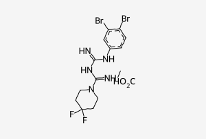 CC(=O)O.N=C(NC(=N)N1CCC(F)(F)CC1)Nc1ccc(Br)c(Br)c1